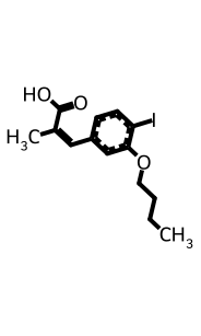 CCCCOc1cc(/C=C(/C)C(=O)O)ccc1I